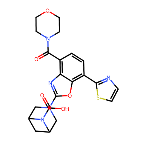 O=C(c1ccc(-c2nccs2)c2oc(N3CC4CC(C3)N4C(=O)O)nc12)N1CCOCC1